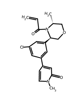 C=CC(=O)N1[C@H](C)COC[C@H]1c1cc(Cl)cc(-c2ccn(C)c(=O)c2)c1